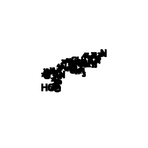 C[C@H]1CN(Cc2nc3sc(C(=O)O)cc3n2C[C@@H]2CCO2)CC[C@]1(C)c1cccc(OCc2ccc(C#N)cc2F)n1